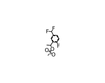 CC(OS(C)(=O)=O)c1cc(C(F)F)ccc1F